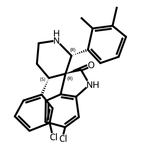 Cc1cccc([C@H]2NCC[C@@H](c3cccc(Cl)c3)[C@]23C(=O)Nc2cc(Cl)ccc23)c1C